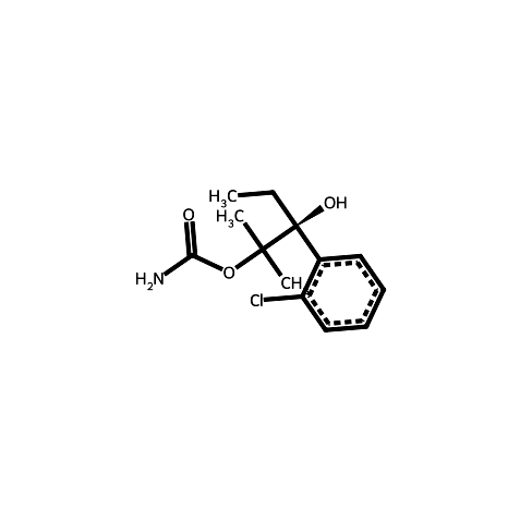 CC[C@](O)(c1ccccc1Cl)C(C)(C)OC(N)=O